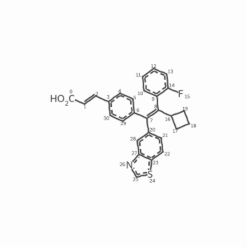 O=C(O)/C=C/c1ccc(/C(=C(\c2ccccc2F)C2CCC2)c2ccc3scnc3c2)cc1